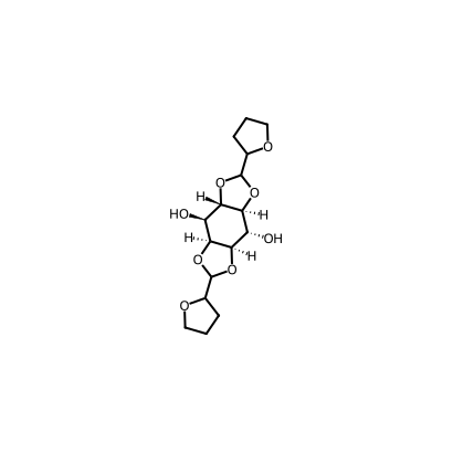 O[C@@H]1[C@H]2OC(C3CCCO3)O[C@H]2[C@@H](O)[C@@H]2OC(C3CCCO3)O[C@@H]12